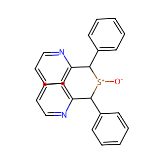 [O-][S+](C(c1ccccc1)c1ccccn1)C(c1ccccc1)c1ccccn1